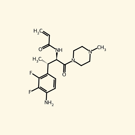 C=CC(=O)N[C@@H](C(=O)N1CCN(C)CC1)[C@@H](C)c1ccc(N)c(F)c1F